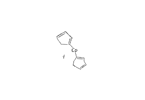 C1=CC[C]([Co][C]2=CC=CC2)=C1.[I]